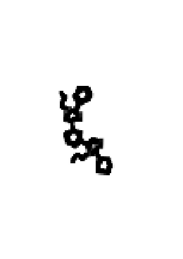 CCCn1cc(-c2cccc(-c3cnc(-c4ccccc4)n3CCC)c2)nc1-c1ccccc1